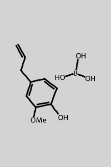 C=CCc1ccc(O)c(OC)c1.OB(O)O